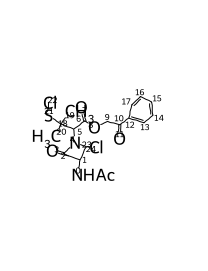 CC(=O)NC1C(=O)N(C(C(=O)OCC(=O)c2ccccc2)C(C)(C)SCl)C1Cl